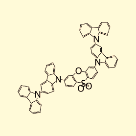 O=S1(=O)c2ccc(-n3c4ccccc4c4cc(-n5c6ccccc6c6ccccc65)ccc43)cc2Oc2cc(-n3c4ccccc4c4cc(-n5c6ccccc6c6ccccc65)ccc43)ccc21